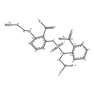 C=C(F)c1c(CS(=O)(=O)N(CC(F)F)c2nccnc2C(=O)OC)cccc1OCCOC